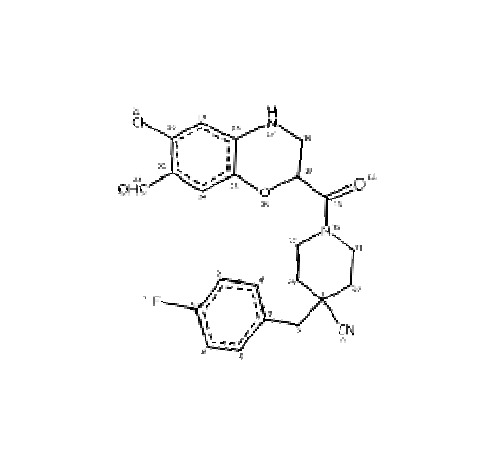 N#CC1(Cc2ccc(F)cc2)CCN(C(=O)C2CNc3cc(Cl)c(C=O)cc3O2)CC1